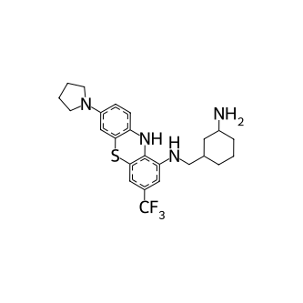 NC1CCCC(CNc2cc(C(F)(F)F)cc3c2Nc2ccc(N4CCCC4)cc2S3)C1